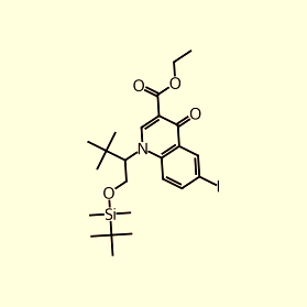 CCOC(=O)c1cn(C(CO[Si](C)(C)C(C)(C)C)C(C)(C)C)c2ccc(I)cc2c1=O